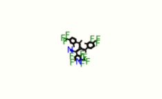 C/C(=C1/C(=C(C#N)c2c(F)c(F)nc(C(F)(F)F)c2F)/C1=C(\C)c1ccc(C(F)(F)F)cc1C)c1ccc(C(F)(F)F)cc1C